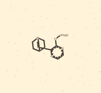 CCCCCCCOc1nccnc1C1=CN2CCC1CC2